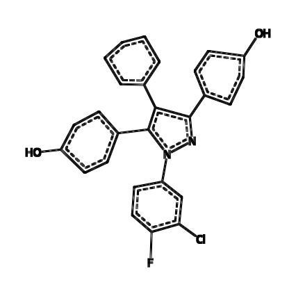 Oc1ccc(-c2nn(-c3ccc(F)c(Cl)c3)c(-c3ccc(O)cc3)c2-c2ccccc2)cc1